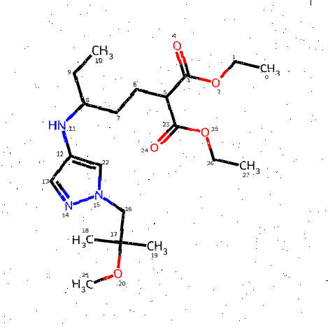 CCOC(=O)C(CCC(CC)Nc1cnn(CC(C)(C)OC)c1)C(=O)OCC